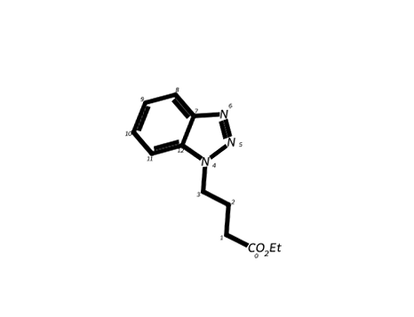 CCOC(=O)CCCn1nnc2ccccc21